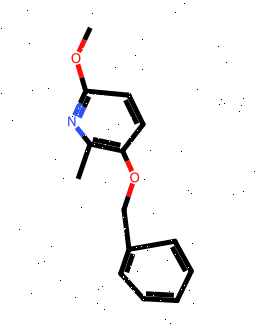 COc1ccc(OCc2ccccc2)c(C)n1